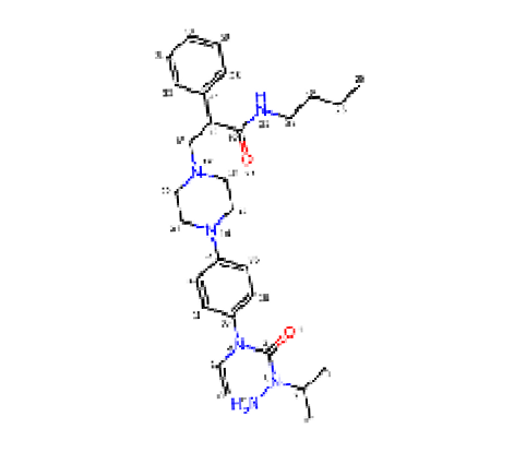 C=CN(C(=O)N(N)C(C)C)c1ccc(N2CCN(CC(C(=O)NCCCC)c3ccccc3)CC2)cc1